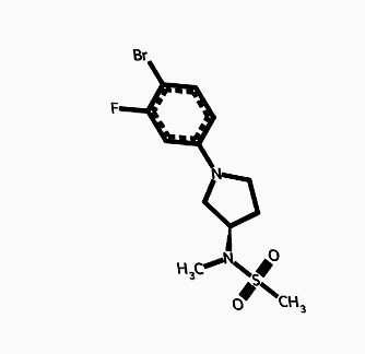 CN([C@@H]1CCN(c2ccc(Br)c(F)c2)C1)S(C)(=O)=O